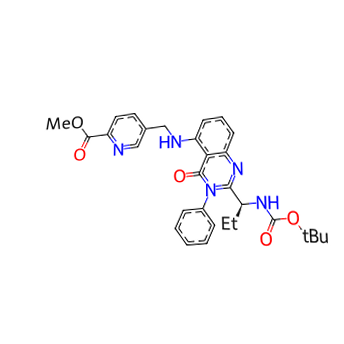 CC[C@H](NC(=O)OC(C)(C)C)c1nc2cccc(NCc3ccc(C(=O)OC)nc3)c2c(=O)n1-c1ccccc1